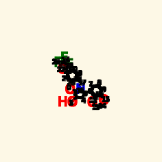 O=C1C(O)CC(c2cccc3c2OCCO3)N1Cc1ccc(OC(F)(F)F)cc1